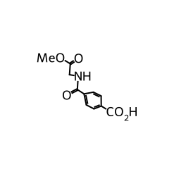 COC(=O)CNC(=O)c1ccc(C(=O)O)cc1